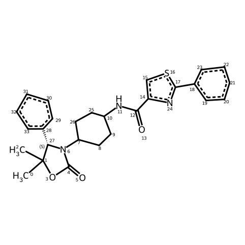 CC1(C)OC(=O)N(C2CCC(NC(=O)c3csc(-c4ccccc4)n3)CC2)[C@H]1c1ccccc1